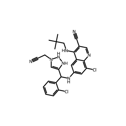 CC(C)(C)CNc1c(C#N)cnc2c(Cl)cc(NC(C3=CN(CC#N)NN3)c3ccccc3Cl)cc12